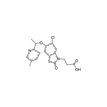 Cc1ccc(C(C)Oc2cc3sc(=O)n(CCC(=O)O)c3cc2Cl)nc1